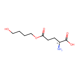 N[C@@H](CCC(=O)OCCCCO)C(=O)O